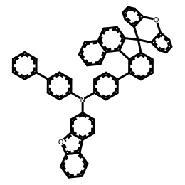 c1ccc(-c2ccc(N(c3ccc(-c4cccc5c4-c4c(ccc6ccccc46)C54c5ccccc5Oc5ccccc54)cc3)c3ccc4c(c3)oc3ccccc34)cc2)cc1